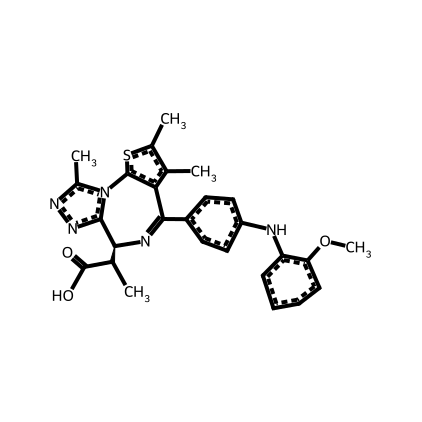 COc1ccccc1Nc1ccc(C2=N[C@@H](C(C)C(=O)O)c3nnc(C)n3-c3sc(C)c(C)c32)cc1